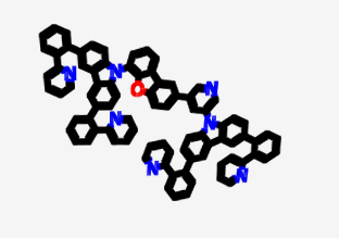 c1ccc(-c2ccccc2-c2ccc3c(c2)c2cc(-c4ccccc4-c4ccccn4)ccc2n3-c2cncc(-c3ccc4oc5c(-n6c7ccc(-c8ccccc8-c8ccccn8)cc7c7cc(-c8ccccc8-c8ccccn8)ccc76)cccc5c4c3)c2)nc1